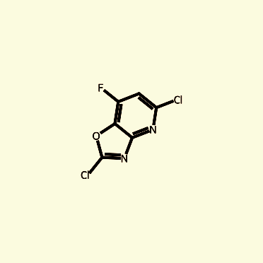 Fc1cc(Cl)nc2nc(Cl)oc12